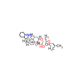 CC(C)=CCOC(C)(C)[C@H]1O[C@H]2CC[C@@]3(C)[C@@H](CC[C@H]4Cc5c([nH]c6ccccc56)[C@@]43C)[C@]23O[C@@H]3[C@@H]1O